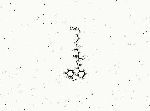 CNCCCCNC(=O)CNC(=O)OCCc1ccccc1-c1ccccc1C